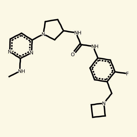 CNc1nccc(N2CCC(NC(=O)Nc3ccc(CN4CCC4)c(F)c3)C2)n1